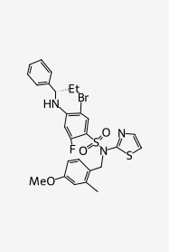 CC[C@H](Nc1cc(F)c(S(=O)(=O)N(Cc2ccc(OC)cc2C)c2nccs2)cc1Br)c1ccccc1